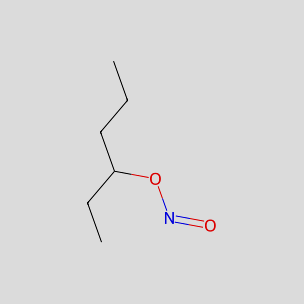 CCCC(CC)ON=O